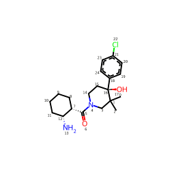 CC1(C)CN(C(=O)[C@H]2CCCC[C@H]2N)CC[C@]1(O)c1ccc(Cl)cc1